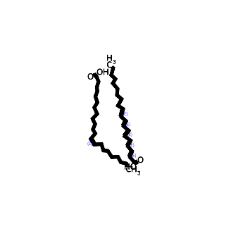 CCCCCCCC/C=C\CCCCCCCCCCCC(=O)O.CCCCCCCCC/C=C/C=C/C=C/C=C/C=C/C(=O)O